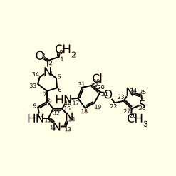 C=CC(=O)N1CCC(c2c[nH]c3ncnc(Nc4ccc(OCc5ncsc5C)c(Cl)c4)c23)CC1